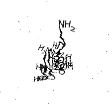 C=C(OP(=O)(O)O)C(=O)O.NCCCCNCCCO.NCCCCNCCCO.NCCCCNCCCO